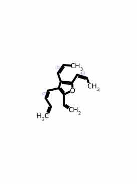 C=C/C=C\c1c(C=C)oc(/C=C\C)c1/C=C\C